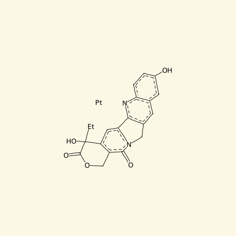 CCC1(O)C(=O)OCc2c1cc1n(c2=O)Cc2cc3cc(O)ccc3nc2-1.[Pt]